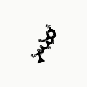 CC(C)(C)n1c(NC(=O)C[C@@](C)(O)C2CC2)nc2ccc(C(F)(F)F)nc21